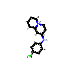 Clc1ccc(N=c2ccn3ccccc3c2)cc1